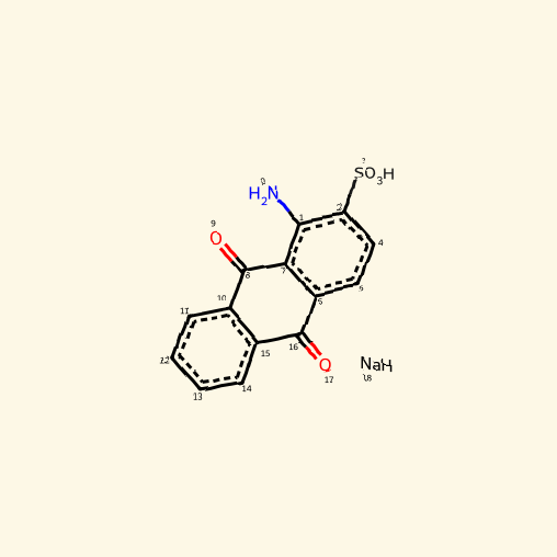 Nc1c(S(=O)(=O)O)ccc2c1C(=O)c1ccccc1C2=O.[NaH]